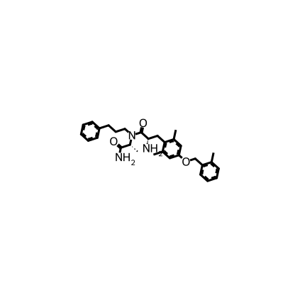 Cc1ccccc1COc1cc(C)c(C[C@H](N)C(=O)N(CCCc2ccccc2)[C@H](C)C(N)=O)c(C)c1